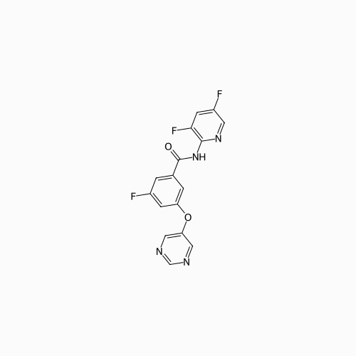 O=C(Nc1ncc(F)cc1F)c1cc(F)cc(Oc2cncnc2)c1